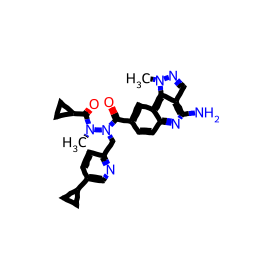 CN(C(=O)C1CC1)N(Cc1ccc(C2CC2)cn1)C(=O)c1ccc2nc(N)c3cnn(C)c3c2c1